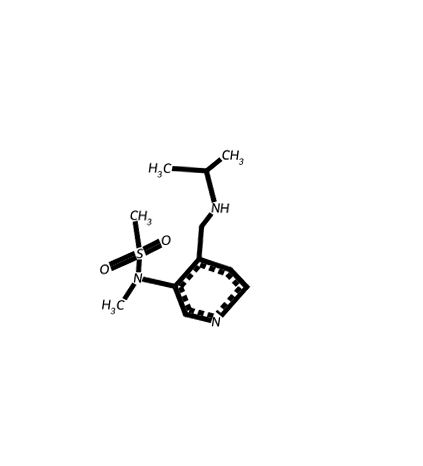 CC(C)NCc1ccncc1N(C)S(C)(=O)=O